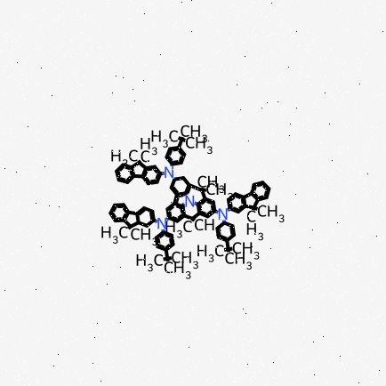 CC(C)(C)C1=CCC(N(c2ccc3c(c2)C(C)(C)c2ccccc2-3)c2cc3c4c(c2)C(C)(C)c2cc(N(C5=CC=C6c7ccccc7C(C)(C)C6C5)c5ccc(C(C)(C)C)cc5)cc5c6c(n-4c25)=C(CC(N(c2ccc(C(C)(C)C)cc2)c2ccc4c(c2)C(C)(C)c2ccccc2-4)C=6)C3(C)C)C=C1